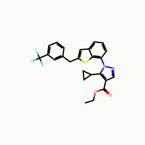 CCOC(=O)c1cnn(-c2cccc3cc(Cc4cccc(C(F)(F)F)c4)sc23)c1C1CC1